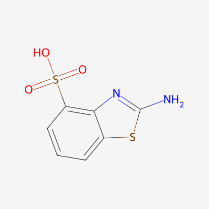 Nc1nc2c(S(=O)(=O)O)cccc2s1